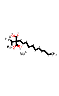 CCCCCCCCCCCC(C(=O)[O-])(C(=O)[O-])C(C)C.[Mg+2]